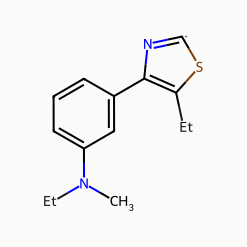 CCc1s[c]nc1-c1cccc(N(C)CC)c1